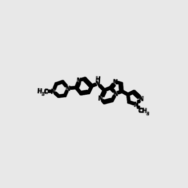 CN1CCN(c2ccc(Nc3nccn4c(C5C=NN(C)C5)cnc34)cn2)CC1